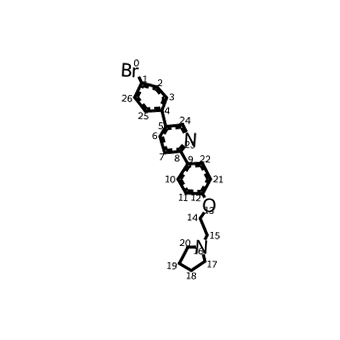 Brc1ccc(-c2ccc(-c3ccc(OCCN4CCCC4)cc3)nc2)cc1